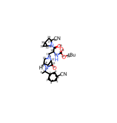 CC(c1cccc(C#N)c1)N1C(=O)C2C[C@H]1CN2CC(NC(=O)OC(C)(C)C)C(=O)N1C(C#N)CC2CC21